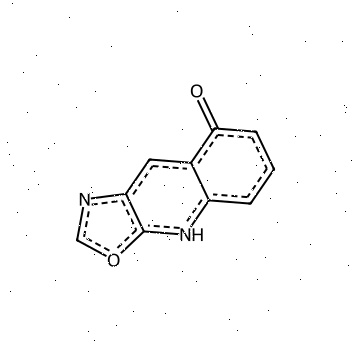 O=c1cccc2[nH]c3ocnc3cc1-2